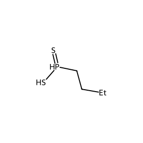 CCCC[PH](=S)S